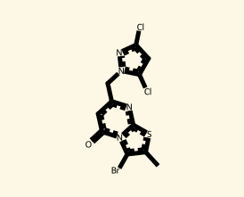 Cc1sc2nc(Cn3nc(Cl)cc3Cl)cc(=O)n2c1Br